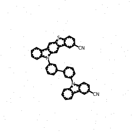 N#Cc1ccc2sc3cc4c5ccccc5n(-c5cccc(-c6cccc(-n7c8ccccc8c8cc(C#N)ccc87)c6)c5)c4cc3c2c1